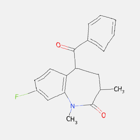 CC1CC(C(=O)c2ccccc2)c2ccc(F)cc2N(C)C1=O